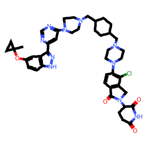 CC1(Oc2ccc3[nH]nc(-c4cc(N5CCN(CC6CCC(CN7CCN(c8ccc9c(c8Cl)CN(C8CCC(=O)NC8=O)C9=O)CC7)CC6)CC5)ncn4)c3c2)CC1